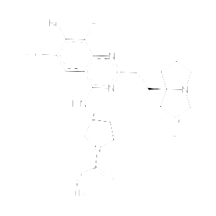 CC(C)(C)OC(=O)N1CC[C@@H](Nc2nc(OC[C@@]34CCCN3C[C@H](F)C4)nc3c(F)c(Br)c(C(F)(F)F)cc23)C1